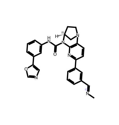 C/N=C/c1cccc(-c2ccc3c(n2)N(C(=O)Nc2cccc(-c4cnco4)c2)[C@H]2CCN3C2)c1